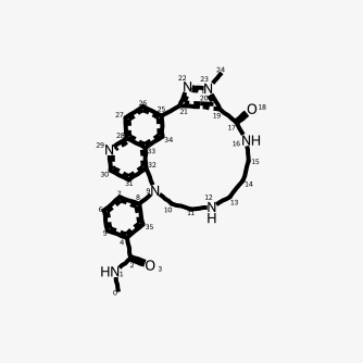 CNC(=O)c1cccc(N2CCNCCCNC(=O)c3cc(nn3C)-c3ccc4nccc2c4c3)c1